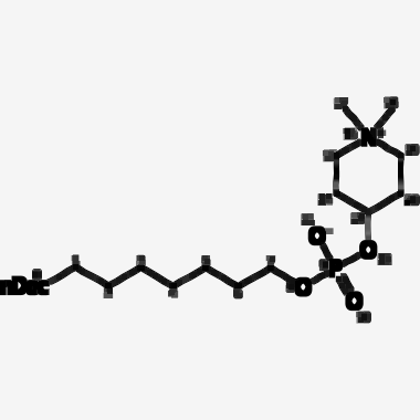 CCCCCCCCCCCCCCCCCOP(=O)([O-])OC1CC[N+](C)(C)CC1